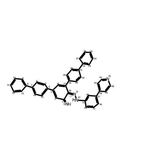 N=C1C=C(c2ccc(-c3ccccc3)cc2)C=C(c2ccc(-c3ccccc3)cc2)/C1=N/Nc1cccc(-c2ccncc2)c1